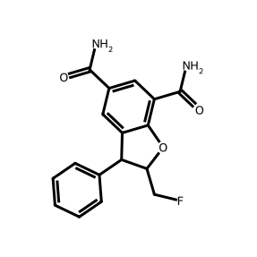 NC(=O)c1cc(C(N)=O)c2c(c1)C(c1ccccc1)C(CF)O2